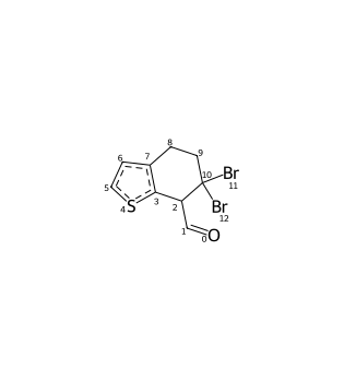 O=CC1c2sccc2CCC1(Br)Br